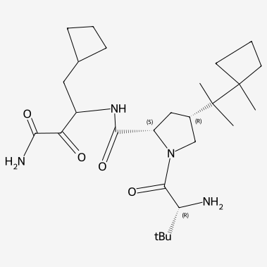 CC(C)(C)[C@@H](N)C(=O)N1C[C@@H](C(C)(C)C2(C)CCC2)C[C@H]1C(=O)NC(CC1CCC1)C(=O)C(N)=O